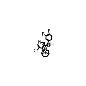 O=C(Nc1ccc(F)c(F)c1)N1CC2CCC(C1)N(c1c(Cl)cncc1Cl)C2